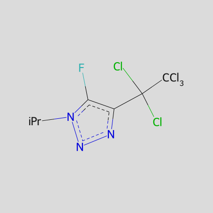 CC(C)n1nnc(C(Cl)(Cl)C(Cl)(Cl)Cl)c1F